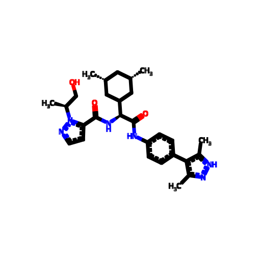 Cc1n[nH]c(C)c1-c1ccc(NC(=O)[C@@H](NC(=O)c2ccnn2[C@@H](C)CO)C2C[C@@H](C)C[C@@H](C)C2)cc1